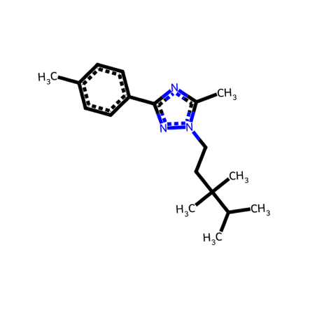 Cc1ccc(-c2nc(C)n(CCC(C)(C)C(C)C)n2)cc1